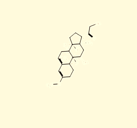 COC1=CC2=CC[C@@H]3[C@H]([C@@H](O)C[C@]4(C)[C@@H](C(=O)CO)CC[C@@H]34)[C@@]2(C)CC1